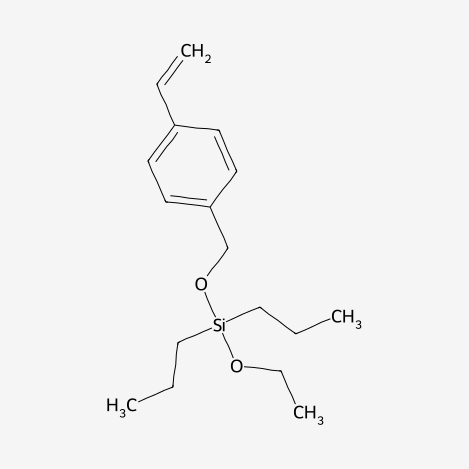 C=Cc1ccc(CO[Si](CCC)(CCC)OCC)cc1